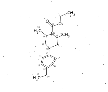 CCOC(=O)N1C(C)CN(c2ccc(CC)cc2)CC1C